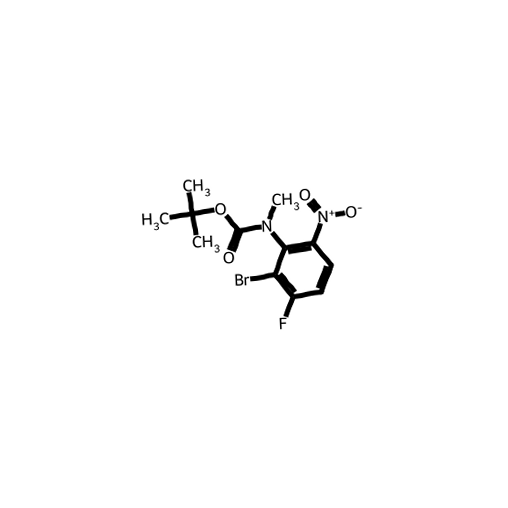 CN(C(=O)OC(C)(C)C)c1c([N+](=O)[O-])ccc(F)c1Br